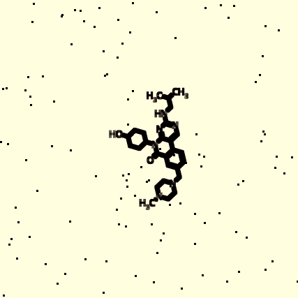 CC(C)CNc1ncc2c3ccc(CN4CCN(C)CC4)cc3c(=O)n(C3CCC(O)CC3)c2n1